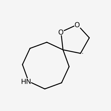 [CH]1COOC12CCCNCCC2